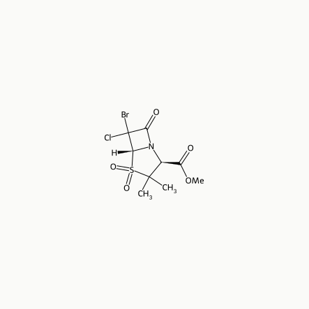 [CH2]OC(=O)[C@@H]1N2C(=O)C(Cl)(Br)[C@H]2S(=O)(=O)C1(C)C